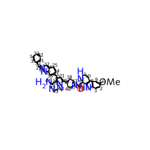 COc1ccc2[nH]c3c(c2c1)CCNC3C(=O)N1CCC(c2cc(-c3ccc4cn(Cc5ccccc5)nc4c3)c3c(N)ncnn23)CC1